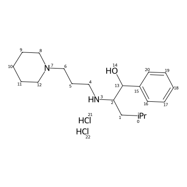 CC(C)CC(NCCCN1CCCCC1)C(O)c1ccccc1.Cl.Cl